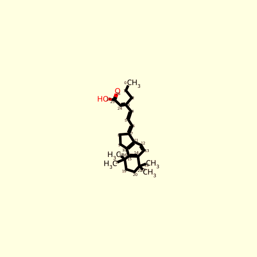 CCCC(C=CC=C1CCc2c1ccc1c2C(C)(C)CCC1(C)C)=CC(=O)O